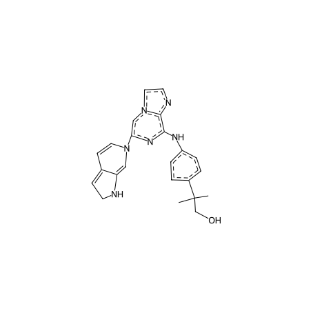 CC(C)(CO)c1ccc(Nc2nc(N3C=CC4=CCNC4=C3)cn3ccnc23)cc1